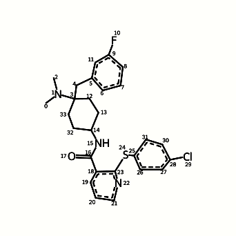 CN(C)C1(Cc2cccc(F)c2)CCC(NC(=O)c2cccnc2Sc2ccc(Cl)cc2)CC1